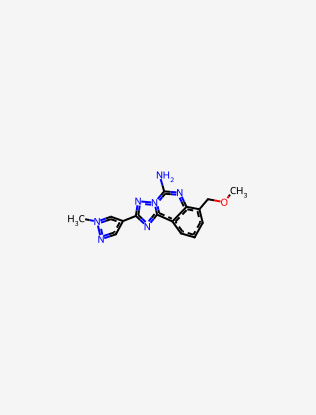 COCc1cccc2c1nc(N)n1nc(-c3cnn(C)c3)nc21